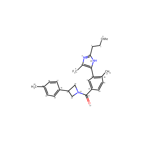 COCCc1nc(C(F)(F)F)c(-c2cc(C(=O)N3CC(c4ccc(C)cc4)C3)ccc2C)[nH]1